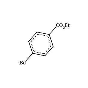 C[CH]OC(=O)c1ccc(C(C)(C)C)cc1